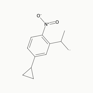 [CH2]C(C)c1cc(C2CC2)ccc1[N+](=O)[O-]